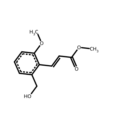 COC(=O)/C=C/c1c(CO)cccc1OC